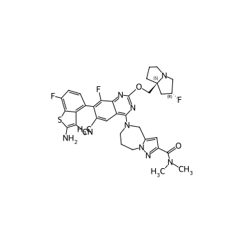 Cc1cc2c(N3CCCn4nc(C(=O)N(C)C)cc4C3)nc(OC[C@@]34CCCN3C[C@H](F)C4)nc2c(F)c1-c1ccc(F)c2sc(N)c(C#N)c12